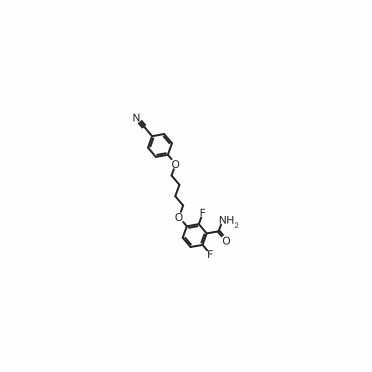 N#Cc1ccc(OCCCCOc2ccc(F)c(C(N)=O)c2F)cc1